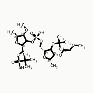 COCCO[C@H]1C(OC(C)(C)C)[C@@H](COP(=O)(S)OC2[C@@H](COP(=O)(S)C(C)(C)C)O[C@@H](C)[C@H]2OC)O[C@H]1C